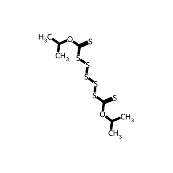 CC(C)OC(=S)SSSSSC(=S)OC(C)C